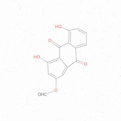 O=COc1cc(O)c2c(c1)C(=O)c1cccc(O)c1C2=O